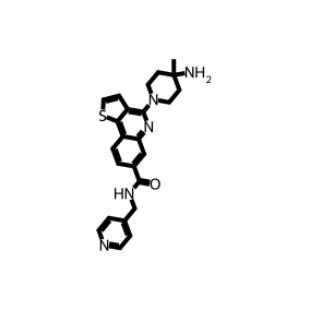 CC1(N)CCN(c2nc3cc(C(=O)NCc4ccncc4)ccc3c3sccc23)CC1